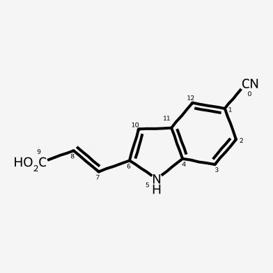 N#Cc1ccc2[nH]c(C=CC(=O)O)cc2c1